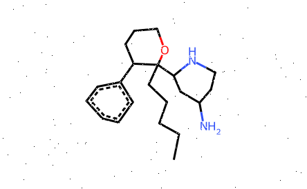 CCCCCC1(C2CC(N)CCN2)OCCCC1c1ccccc1